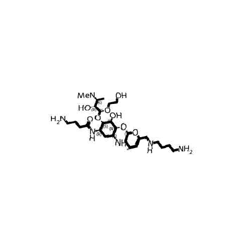 CN[C@@H](C)[C@@H](O)[C@H](OCCO)O[C@@H]1[C@@H](O)[C@H](O[C@@H]2CCC=C(CNCCCCN)O2)[C@@H](N)C[C@H]1NC(=O)CCCN